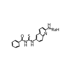 O=C(NC(=S)Nc1ccc2nc([NH][RaH])ccc2c1)c1ccccc1